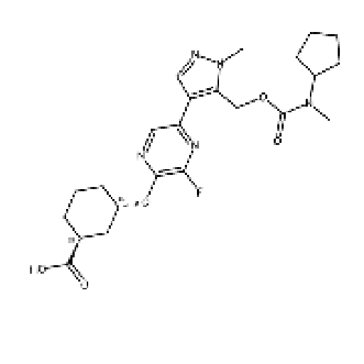 CN(C(=O)OCc1c(-c2cnc(O[C@H]3CCC[C@H](C(=O)O)C3)c(F)n2)cnn1C)C1CCCC1